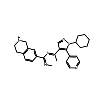 C/N=C(\N=C(/C)c1cnn(C2CCCCC2)c1-c1ccncc1)c1ccc2c(c1)CNCC2